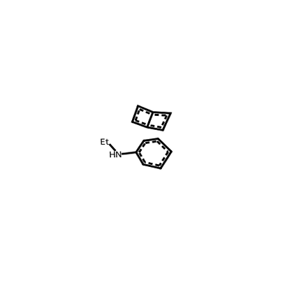 CCNc1ccccc1.c1cc2ccc1-2